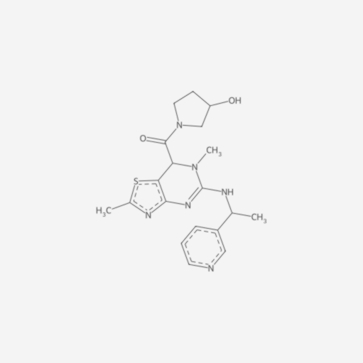 Cc1nc2c(s1)C(C(=O)N1CCC(O)C1)N(C)C(NC(C)c1cccnc1)=N2